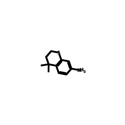 CC1(C)CCSc2cc(N)ccc21